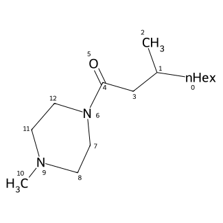 CCCCCCC(C)CC(=O)N1CCN(C)CC1